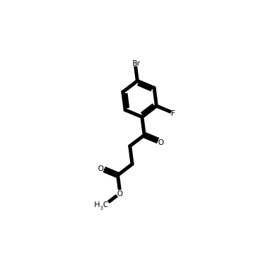 COC(=O)CCC(=O)c1ccc(Br)cc1F